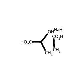 CC(=O)O.CC(O)C(=O)O.[NaH]